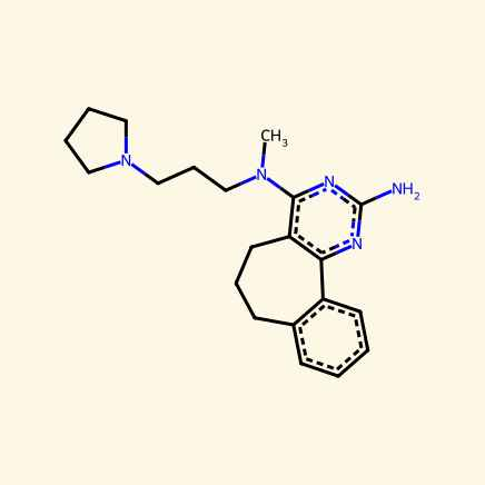 CN(CCCN1CCCC1)c1nc(N)nc2c1CCCc1ccccc1-2